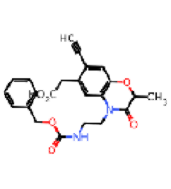 C#Cc1cc2c(cc1CC(=O)O)N(CCNC(=O)OCc1ccccc1)C(=O)C(C)O2